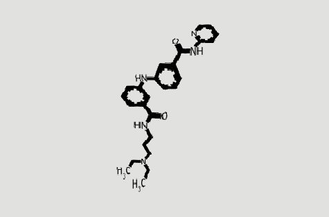 CCN(CC)CCCNC(=O)c1cccc(Nc2cccc(C(=O)Nc3ccccn3)c2)c1